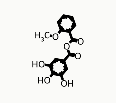 COc1ccccc1C(=O)OC(=O)c1cc(O)c(O)c(O)c1